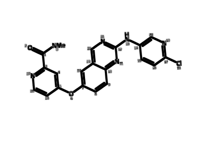 CNC(=O)c1cc(Oc2ccc3nc(Nc4ccc(Cl)nc4)ncc3c2)ccn1